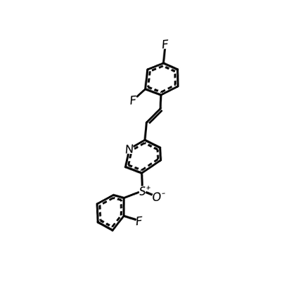 [O-][S+](c1ccc(/C=C/c2ccc(F)cc2F)nc1)c1ccccc1F